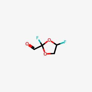 O=CC1(F)OCC(F)O1